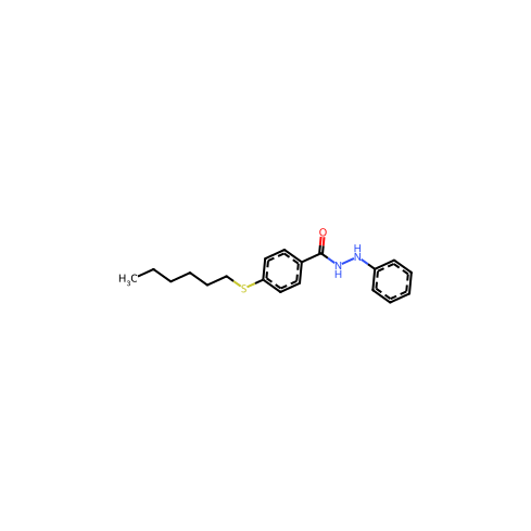 CCCCCCSc1ccc(C(=O)NNc2ccccc2)cc1